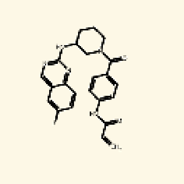 C=CC(=O)Nc1ccc(C(=O)N2CCCC(Nc3ncc4cc(F)ccc4n3)C2)cc1